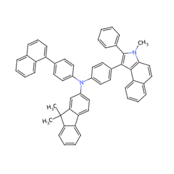 Cn1c(-c2ccccc2)c(-c2ccc(N(c3ccc(-c4cccc5ccccc45)cc3)c3ccc4c(c3)C(C)(C)c3ccccc3-4)cc2)c2c3ccccc3ccc21